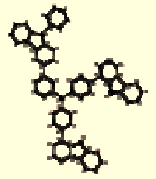 c1ccc(-n2c3ccccc3c3cc(-c4cccc(N(c5ccc(-c6cccc7c6oc6ccccc67)cc5)c5ccc(-c6cccc7c6oc6ccccc67)cc5)c4)ccc32)cc1